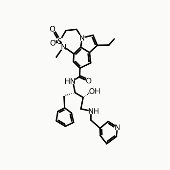 CCc1cn2c3c(cc(C(=O)N[C@@H](Cc4ccccc4)[C@H](O)CNCc4cccnc4)cc13)N(C)S(=O)(=O)CC2